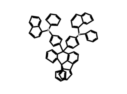 c1ccc(N(c2ccc(C3(c4ccc(N(c5ccccc5)c5cccc6ccccc56)cc4)c4ccccc4C4(c5ccccc5)c5ccccc5-c5cccc3c54)cc2)c2cccc3ccccc23)cc1